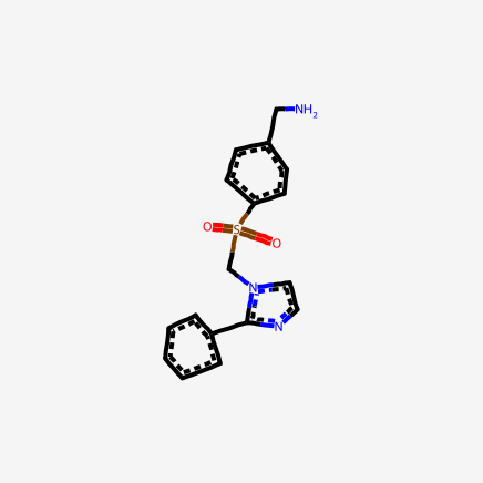 NCc1ccc(S(=O)(=O)Cn2ccnc2-c2ccccc2)cc1